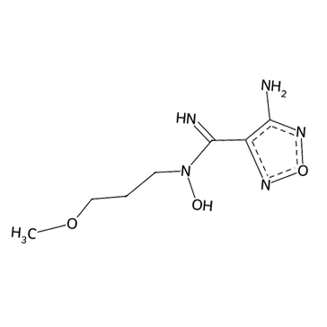 COCCCN(O)C(=N)c1nonc1N